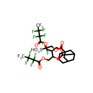 O=C(OCC(F)(F)S(=O)(=O)O)C12CC3CC(C1)C1(OCC(COC(=O)C(F)(F)C(F)(F)C(F)(F)F)C(COC(=O)C(F)(F)C(F)(F)C(F)(F)F)O1)C(C3)C2